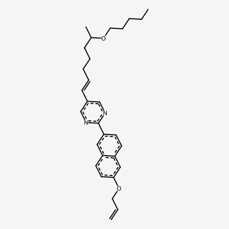 C=CCOc1ccc2cc(-c3ncc(C=CCCCC(C)OCCCCC)cn3)ccc2c1